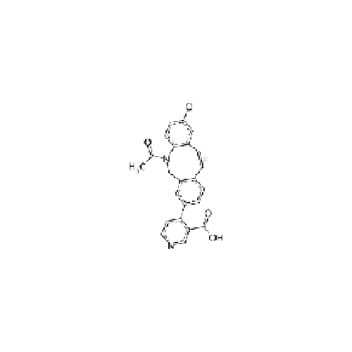 CC(=O)N1Cc2cc(-c3ccncc3C(=O)O)ccc2/C=C\c2cc(Cl)ccc21